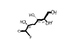 O=C(F)[C@H](O)C[C@H](O)[C@H](O)CO